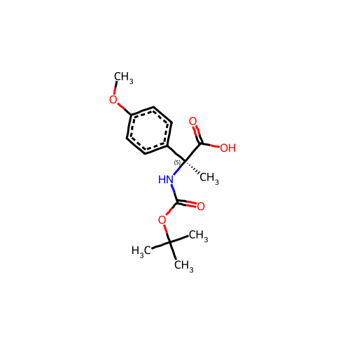 COc1ccc([C@](C)(NC(=O)OC(C)(C)C)C(=O)O)cc1